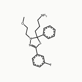 COCCN1N=C(c2cccc(F)c2)SC1(CCCN)c1ccccc1